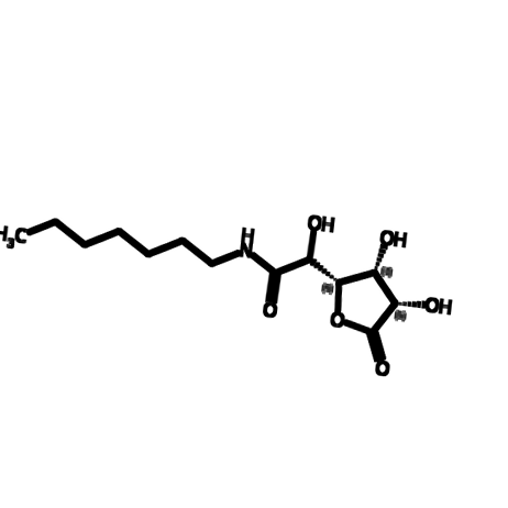 CCCCCCCNC(=O)C(O)[C@H]1OC(=O)[C@@H](O)[C@H]1O